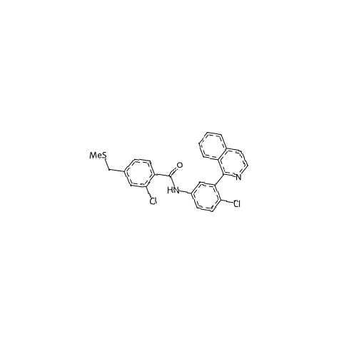 CSCc1ccc(C(=O)Nc2ccc(Cl)c(-c3nccc4ccccc34)c2)c(Cl)c1